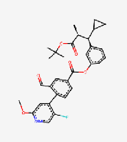 COc1cc(-c2ccc(C(=O)Oc3cccc([C@H](C4CC4)[C@H](C)C(=O)OC(C)(C)C)c3)cc2C=O)c(F)cn1